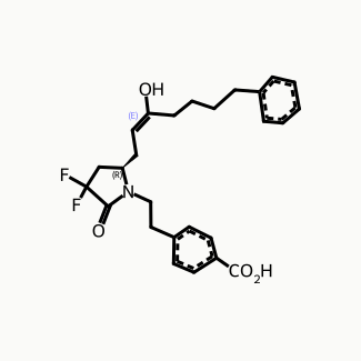 O=C(O)c1ccc(CCN2C(=O)C(F)(F)C[C@H]2C/C=C(/O)CCCCc2ccccc2)cc1